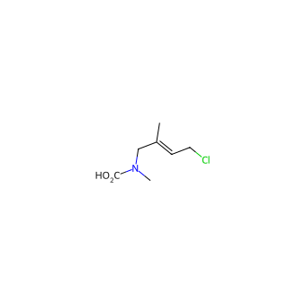 CC(=CCCl)CN(C)C(=O)O